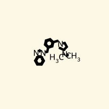 CN(C)C1CCN(Cc2cccc(Cn3cnc4ccccc43)c2)C1